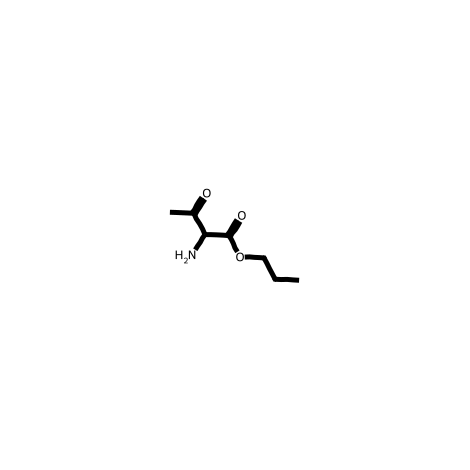 CCCOC(=O)C(N)C(C)=O